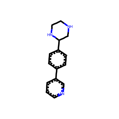 [c]1cc(-c2cccnc2)ccc1C1CNCCN1